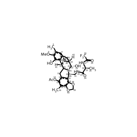 COc1c(C)cc2c(c1O)[C@H]1C3Cc4c(OC(C)=O)c(C)c5c(c4[C@H](CNC(=O)[C@H](C)NC(=O)C(F)(F)F)N3[C@@H](O)[C@@H](C2)N1C)OCO5